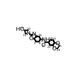 O=C(Nc1ccc2oc(N3CC(O)C3)nc2c1)c1ccc2c(c1)OCCO2